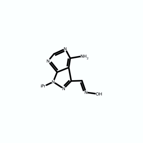 CC(C)n1nc(C=NO)c2c(N)ncnc21